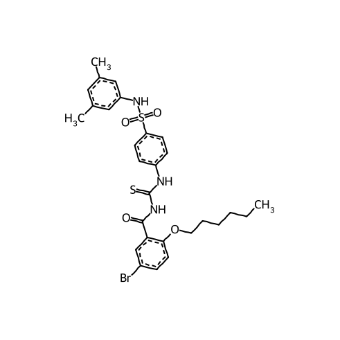 CCCCCCOc1ccc(Br)cc1C(=O)NC(=S)Nc1ccc(S(=O)(=O)Nc2cc(C)cc(C)c2)cc1